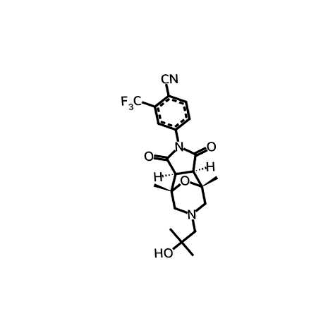 CC(C)(O)CN1C[C@@]2(C)O[C@@](C)(C1)[C@@H]1C(=O)N(c3ccc(C#N)c(C(F)(F)F)c3)C(=O)[C@@H]12